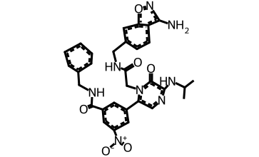 CC(C)Nc1ncc(-c2cc(C(=O)NCc3ccccc3)cc([N+](=O)[O-])c2)n(CC(=O)NCc2ccc3c(N)noc3c2)c1=O